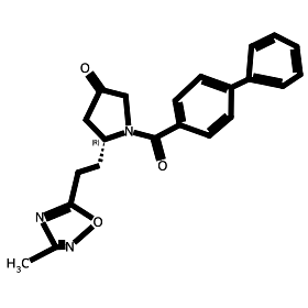 Cc1noc(CC[C@@H]2CC(=O)CN2C(=O)c2ccc(-c3ccccc3)cc2)n1